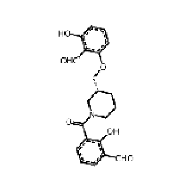 O=Cc1cccc(C(=O)N2CCC[C@@H](COc3cccc(O)c3C=O)C2)c1O